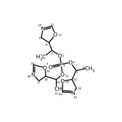 CC(OP(=O)(OC(C)C1CN=CO1)OC(C)C1CN=CO1)C1CN=CO1